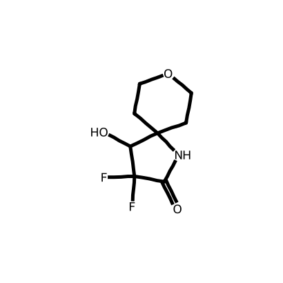 O=C1NC2(CCOCC2)C(O)C1(F)F